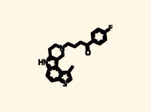 Cc1csc2ccc3[nH]c4c(c3c12)CN(CCCC(=O)c1ccc(F)cc1)CC4